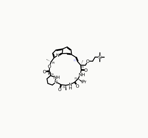 CC(C)[C@@H]1NC(=O)[C@](C)(COCC[Si](C)(C)C)/C=C/c2ccc3ccc(nc3c2)[C@@H](C)OC(=O)[C@@H]2CCCN(N2)C(=O)[C@H](C)NC1=O